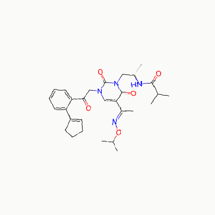 C/C(=N\OC(C)C)c1cn(CC(=O)c2ccccc2C2=CCCC2)c(=O)n(C[C@H](C)NC(=O)C(C)C)c1=O